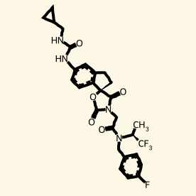 C[C@H](N(Cc1ccc(F)cc1)C(=O)CN1C(=O)O[C@@]2(CCc3cc(NC(=O)NCC4CC4)ccc32)C1=O)C(F)(F)F